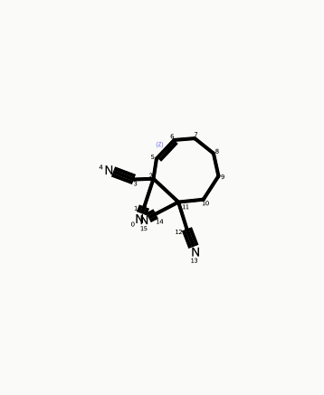 N#CC1(C#N)/C=C\CCCCC1(C#N)C#N